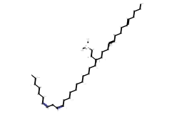 CCCCC=CCCCC=CCCCC(CCCCCCCCCC/C=C\C/C=C\CCCCCC)CCN(C)C